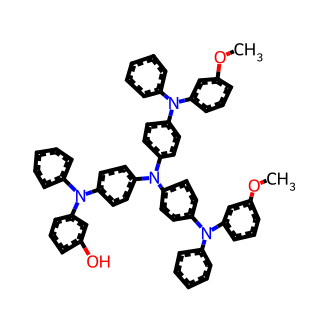 COc1cccc(N(c2ccccc2)c2ccc(N(c3ccc(N(c4ccccc4)c4cccc(O)c4)cc3)c3ccc(N(c4ccccc4)c4cccc(OC)c4)cc3)cc2)c1